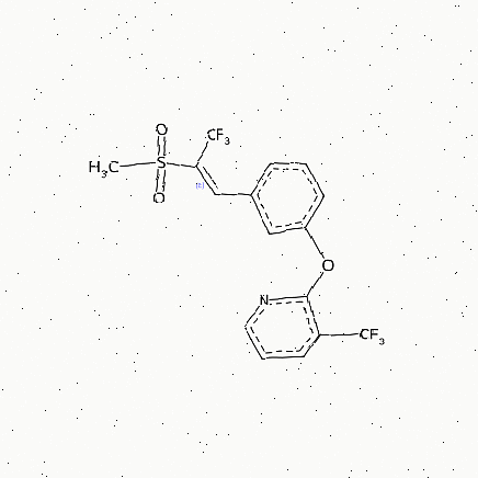 CS(=O)(=O)/C(=C/c1cccc(Oc2ncccc2C(F)(F)F)c1)C(F)(F)F